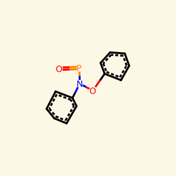 O=PN(Oc1ccccc1)c1ccccc1